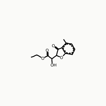 CCOC(=O)C(O)C1Oc2cccc(C)c2C1=O